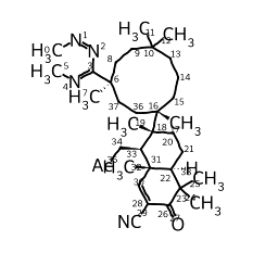 C/N=N\C(=N/C)[C@@]1(C)CCC(C)(C)CCC[C@](C)([C@]2(C)CC[C@H]3C(C)(C)C(=O)C(C#N)=C[C@]3(C)[C@H]2CC(C)=O)CC1